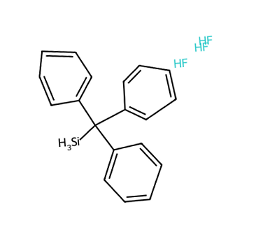 F.F.F.[SiH3]C(c1ccccc1)(c1ccccc1)c1ccccc1